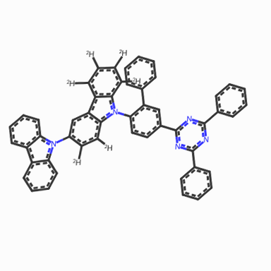 [2H]c1c([2H])c([2H])c2c(c1[2H])c1cc(-n3c4ccccc4c4ccccc43)c([2H])c([2H])c1n2-c1ccc(-c2nc(-c3ccccc3)nc(-c3ccccc3)n2)cc1-c1ccccc1